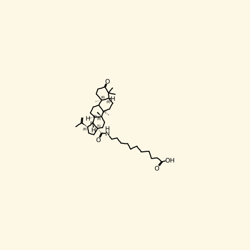 C=C(C)[C@@H]1CC[C@]2(C(=O)NCCCCCCCCCCC(=O)O)CC[C@]3(C)[C@H](CCC4[C@@]5(C)CCC(=O)C(C)(C)[C@@H]5CC[C@]43C)[C@@H]12